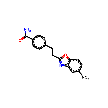 NC(=O)c1ccc(CCc2nc3cc([N+](=O)[O-])ccc3o2)cc1